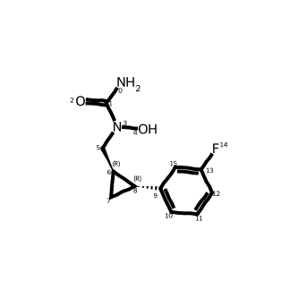 NC(=O)N(O)C[C@@H]1C[C@H]1c1cccc(F)c1